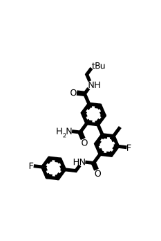 Cc1c(F)cc(C(=O)NCc2ccc(F)cc2)cc1-c1ccc(C(=O)NCC(C)(C)C)cc1C(N)=O